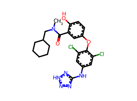 CN(CC1CCCCC1)C(=O)c1cc(Oc2c(Cl)cc(Nc3nn[nH]n3)cc2Cl)ccc1O